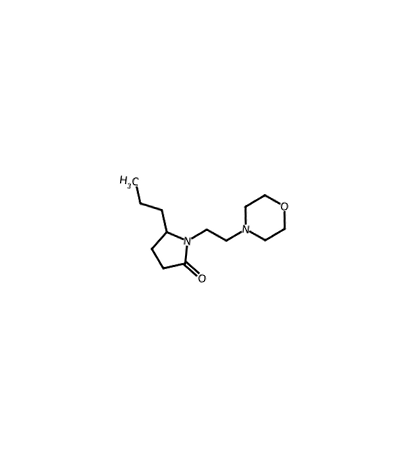 CCCC1CCC(=O)N1CCN1CCOCC1